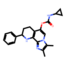 Cc1nc2c3c(c(OC(=O)NC4CC4)cn2c1C)CCC(c1ccccc1)N3